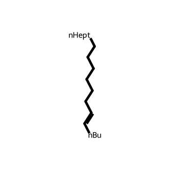 [CH2]CCCC=CCCCCCCCCCCCC[CH2]